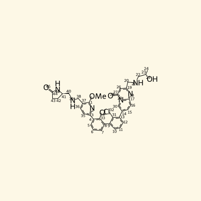 COc1nc(-c2cccc(-c3cccc(-c4ccc5nc(CNCC(C)O)cc(=O)n5c4)c3Cl)c2Cl)ccc1CNC[C@H]1CCC(=O)N1